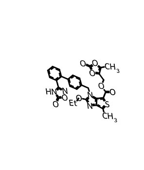 CCOc1nc2c(C)sc(C(=O)OCc3oc(=O)oc3C)c2n1Cc1ccc(-c2ccccc2-c2noc(=O)[nH]2)cc1